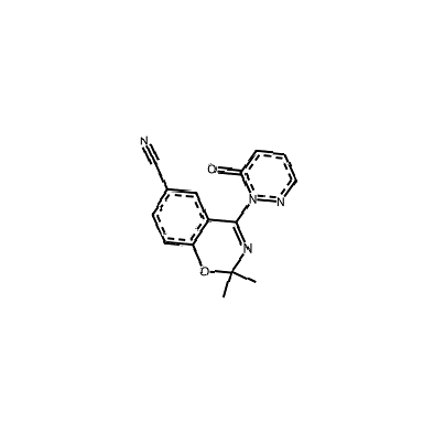 CC1(C)N=C(n2ncccc2=O)c2cc(C#N)ccc2O1